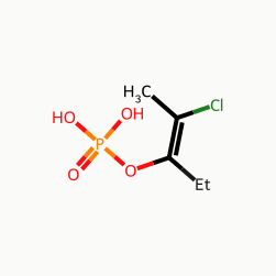 CCC(OP(=O)(O)O)=C(C)Cl